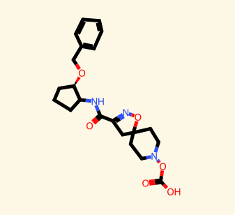 O=C(O)ON1CCC2(CC1)CC(C(=O)NC1CCC[C@H]1OCc1ccccc1)=NO2